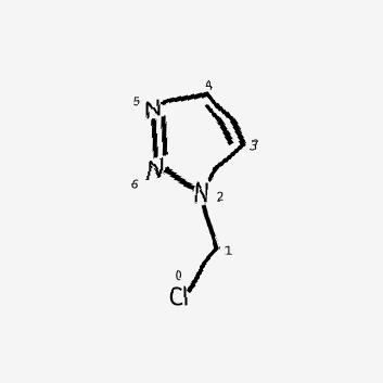 ClCn1ccnn1